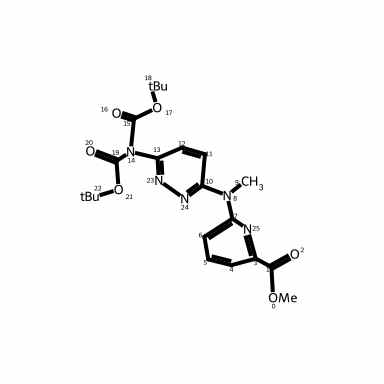 COC(=O)c1cccc(N(C)c2ccc(N(C(=O)OC(C)(C)C)C(=O)OC(C)(C)C)nn2)n1